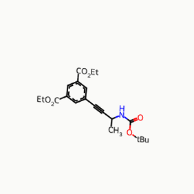 CCOC(=O)c1cc(C#CC(C)NC(=O)OC(C)(C)C)cc(C(=O)OCC)c1